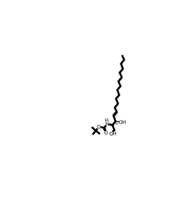 CCCCCCCCCCCCC/C=C/[C@@H](O)C(CO)NC(=O)OC(C)(C)C